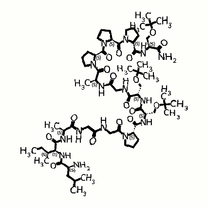 CC[C@H](C)[C@H](NC(=O)[C@@H](N)CC(C)C)C(=O)N[C@@H](C)C(=O)NCC(=O)NCC(=O)N1CCC[C@H]1C(=O)N[C@@H](COC(C)(C)C)C(=O)N[C@@H](COC(C)(C)C)C(=O)NCC(=O)N[C@@H](C)C(=O)N1CCC[C@H]1C(=O)N1CCC[C@H]1C(=O)N1CCC[C@H]1C(=O)N[C@@H](COC(C)(C)C)C(N)=O